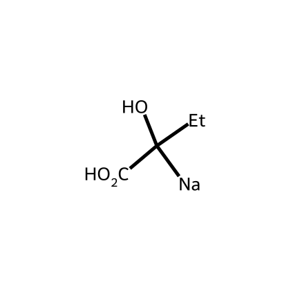 CC[C](O)([Na])C(=O)O